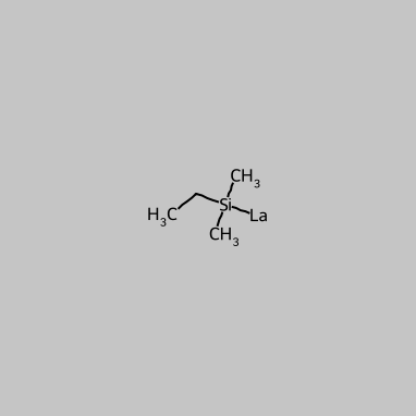 CC[Si](C)(C)[La]